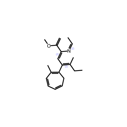 C=C(OC)C(=C/C(C1=C(C)C=CC=CC1)=C(\C)CC)/N=C\C